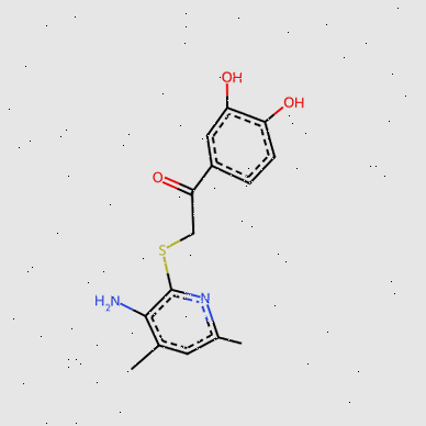 Cc1cc(C)c(N)c(SCC(=O)c2ccc(O)c(O)c2)n1